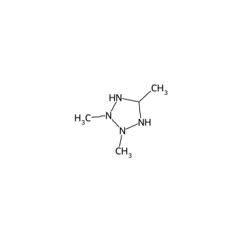 CC1NN(C)N(C)N1